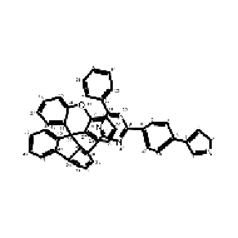 C1=NCC=C1c1ccc(-c2nc(-c3ccccc3)nc(-c3cccc4c3C3(c5ccccc5Oc5ccccc53)c3ccccc3-4)n2)cc1